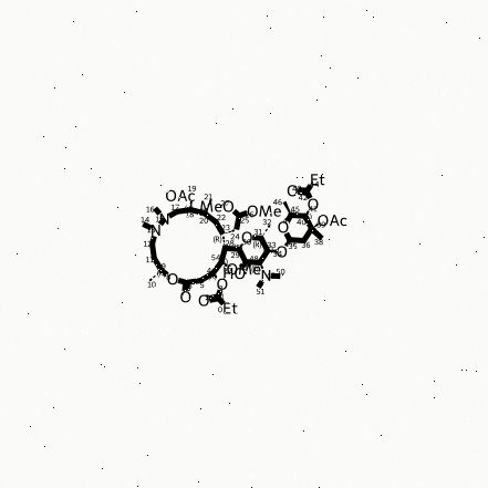 CCC(=O)O[C@@H]1CC(=O)O[C@H](C)CCN(C)N(C)C[C@H](OC(C)=O)[C@H](C)C[C@H](CC(OC)OC)[C@H]([C@@H]2O[C@H](C)[C@@H](O[C@@H]3C[C@@](C)(OC(C)=O)[C@@H](OC(=O)CC)[C@H](C)O3)[C@H](N(C)C)[C@H]2O)[C@@H]1OC